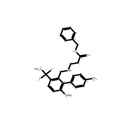 COc1ccc(C(F)(F)C(=O)O)c(CNCCC(=O)OCc2ccccc2)c1-c1ccc(C(F)(F)F)cc1